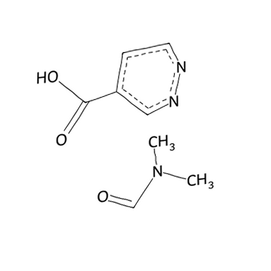 CN(C)C=O.O=C(O)c1ccnnc1